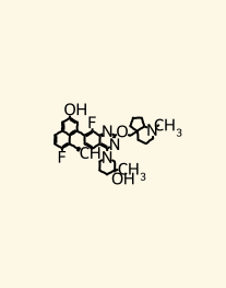 C#Cc1c(F)ccc2cc(O)cc(-c3ccc4c(N5CCCC(C)(O)C5)nc(OCC56CCCC5N(C)CCC6)nc4c3F)c12